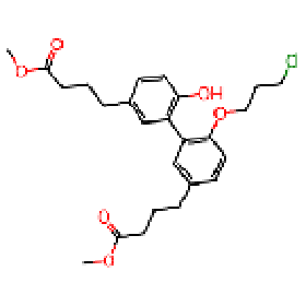 COC(=O)CCCc1ccc(O)c(-c2cc(CCCC(=O)OC)ccc2OCCCCl)c1